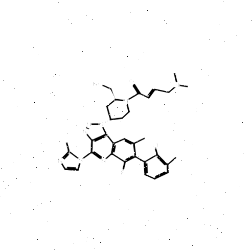 Cc1cccc(-c2c(C)cc3c(nc(-n4ccnc4C)c4nnn([C@H]5CCN(C(=O)/C=C/CN(C)C)[C@H](CC#N)C5)c43)c2F)c1Cl